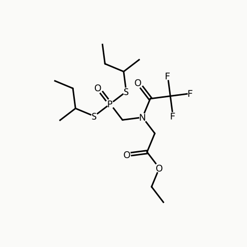 CCOC(=O)CN(CP(=O)(SC(C)CC)SC(C)CC)C(=O)C(F)(F)F